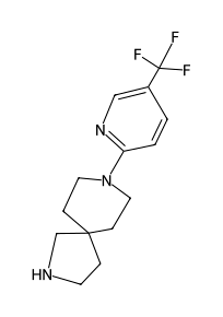 FC(F)(F)c1ccc(N2CCC3(CCNC3)CC2)nc1